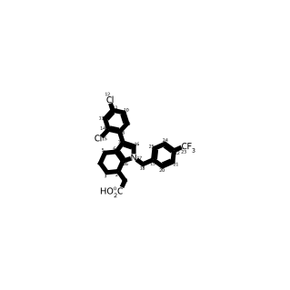 O=C(O)CC1CCCc2c(-c3ccc(Cl)cc3Cl)cn(Cc3ccc(C(F)(F)F)cc3)c21